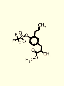 C=CCc1cc(CC(C)C(=O)OC)ccc1OS(=O)(=O)C(F)(F)F